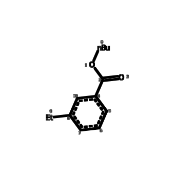 CCCCOC(=O)c1cccc(CC)c1